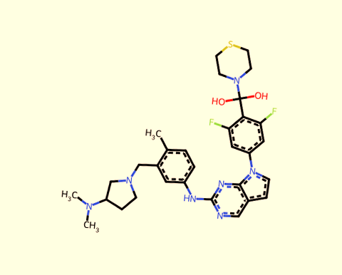 Cc1ccc(Nc2ncc3ccn(-c4cc(F)c(C(O)(O)N5CCSCC5)c(F)c4)c3n2)cc1CN1CCC(N(C)C)C1